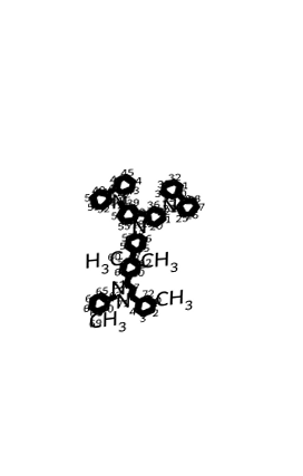 Cc1cccc(-c2cc(-c3cc(C)c(-c4ccc(-n5c6ccc(-n7c8ccccc8c8ccccc87)cc6c6cc(-n7c8ccccc8c8ccccc87)ccc65)cc4)c(C)c3)nc(-c3cccc(C)c3)n2)c1